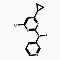 Cc1cc(C2CC2)nc(N(F)c2cccnc2)n1